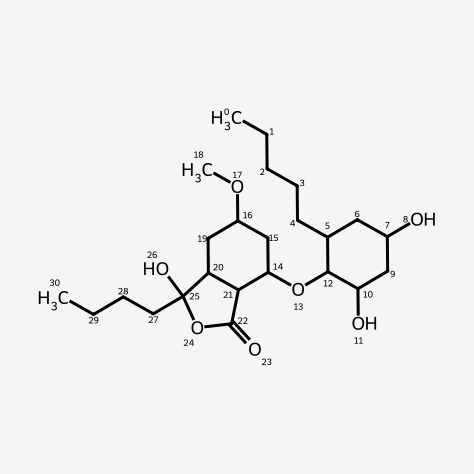 CCCCCC1CC(O)CC(O)C1OC1CC(OC)CC2C1C(=O)OC2(O)CCCC